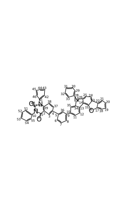 O=c1c2cc(-c3cccc(-c4ccc5c6c7oc8ccccc8c7ccc6n(-c6ccccc6)c5c4)c3)ccc2n(-c2ccccc2)c(=O)n1-c1ccccc1